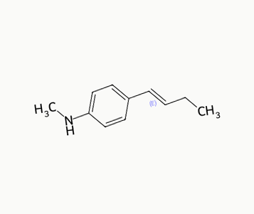 CC/C=C/c1ccc(NC)cc1